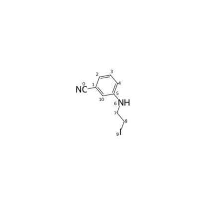 N#Cc1cccc(NCCI)c1